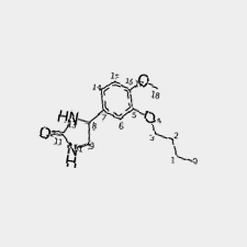 CCCCOc1cc(C2CNC(=O)N2)ccc1OC